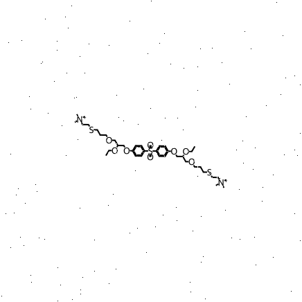 CCOC(COCCCSCC[N+](C)(C)C)COc1ccc(S(=O)(=O)c2ccc(OCC(COCCCSCC[N+](C)(C)C)OCC)cc2)cc1